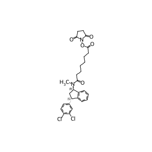 CN(C(=O)CCCCCCC(=O)ON1C(=O)CCC1=O)[C@@H]1C[C@@H](c2ccc(Cl)c(Cl)c2)c2ccccc21